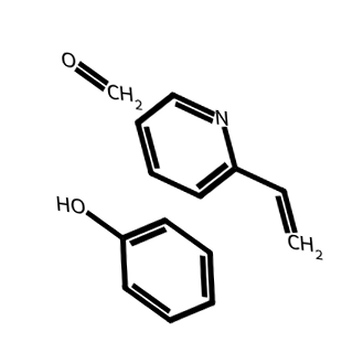 C=Cc1ccccn1.C=O.Oc1ccccc1